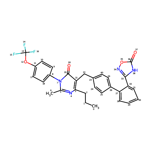 CCCc1nc(C)n(-c2ccc(OC(F)(F)F)cc2)c(=O)c1Cc1ccc(-c2ccccc2-c2noc(=O)[nH]2)cc1